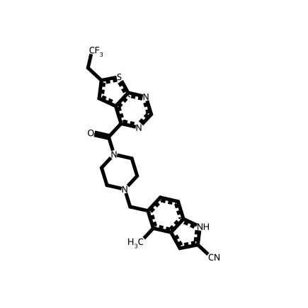 Cc1c(CN2CCN(C(=O)c3ncnc4sc(CC(F)(F)F)cc34)CC2)ccc2[nH]c(C#N)cc12